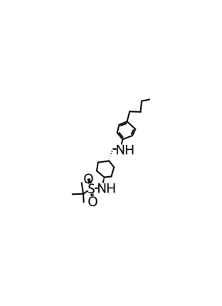 CCCCc1ccc(NC[C@H]2CC[C@H](NS(=O)(=O)C(C)(C)C)CC2)cc1